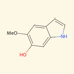 COc1cc2[c]c[nH]c2cc1O